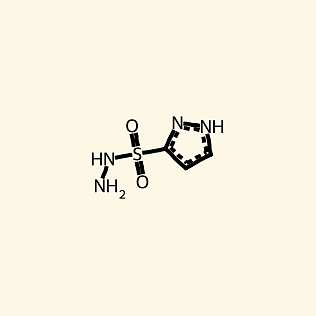 NNS(=O)(=O)c1cc[nH]n1